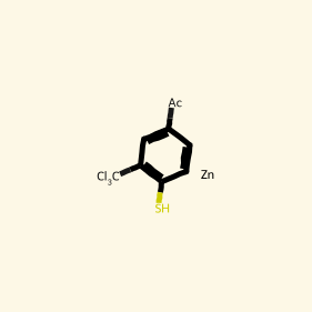 CC(=O)c1ccc(S)c(C(Cl)(Cl)Cl)c1.[Zn]